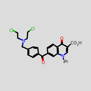 CC(C)n1cc(C(=O)O)c(=O)c2ccc(C(=O)c3ccc(CN(CCCl)CCCl)cc3)cc21